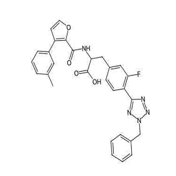 Cc1cccc(-c2ccoc2C(=O)NC(Cc2ccc(-c3nnn(Cc4ccccc4)n3)c(F)c2)C(=O)O)c1